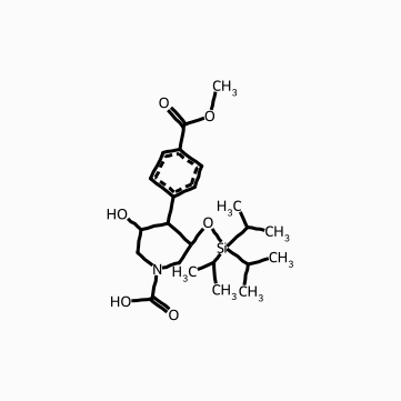 COC(=O)c1ccc(C2C(O)CN(C(=O)O)CC2O[Si](C(C)C)(C(C)C)C(C)C)cc1